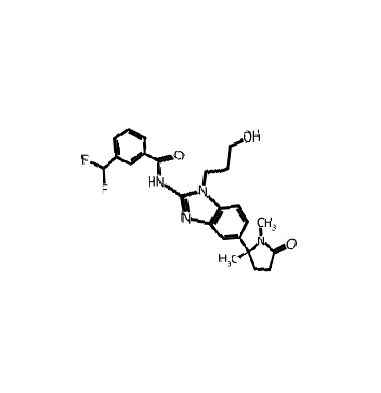 CN1C(=O)CC[C@]1(C)c1ccc2c(c1)nc(NC(=O)c1cccc(C(F)F)c1)n2CCCO